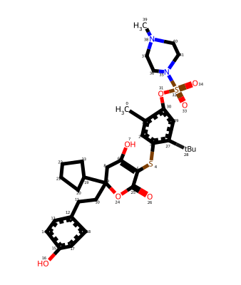 Cc1cc(SC2=C(O)CC(CCc3ccc(O)cc3)(C3CCCC3)OC2=O)c(C(C)(C)C)cc1OS(=O)(=O)N1CCN(C)CC1